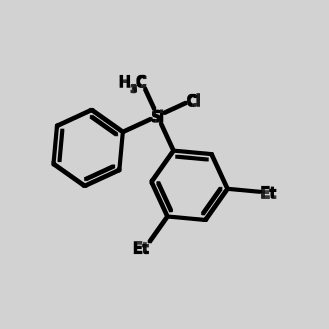 CCc1cc(CC)cc([Si](C)(Cl)c2ccccc2)c1